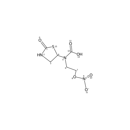 O=C1NCC(N(CCO[N+](=O)[O-])C(=O)O)S1